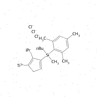 CCCC[Si](C)(C1=CC[C]([Ti+3])=C1C(C)C)c1c(C)cc(C)cc1C.[Cl-].[Cl-].[Cl-]